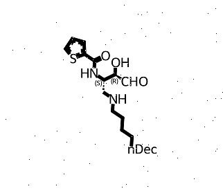 CCCCCCCCCCCCCCNC[C@H](NC(=O)c1cccs1)[C@@H](O)C=O